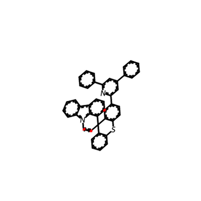 c1ccc(-c2cc(-c3ccccc3)nc(-c3ccc4c(c3)C3(c5ccccc5S4)c4ccccc4-n4c5ccccc5c5cccc3c54)c2)cc1